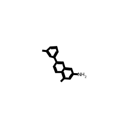 Cc1cccc(-c2ccc3c(C)cc(N)cc3c2)c1